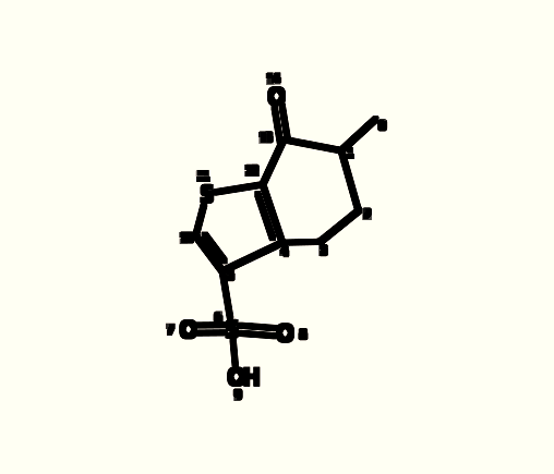 CC1CCc2c(S(=O)(=O)O)csc2C1=O